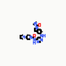 CN(C)C(=O)n1ccc2cc(Nc3cc(NC(=O)N4CCC(N5CCCC5)CC4)ncn3)ccc21